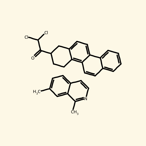 Cc1ccc2ccnc(C)c2c1.O=C(C(Cl)Cl)C1CCc2c(ccc3c2ccc2ccccc23)C1